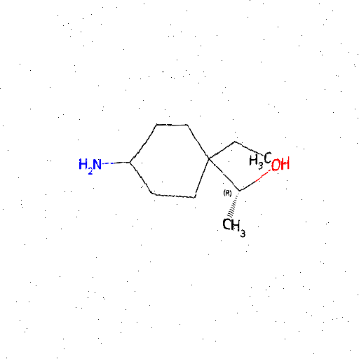 CCC1([C@@H](C)O)CCC(N)CC1